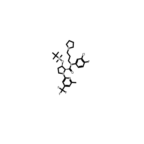 Cc1cc(C(F)(F)F)cc(N2CC[C@@H](O[Si](C)(C)C(C)(C)C)[C@H]2C(=O)N(CCCN2CCCC2)c2ccc(F)c(Cl)c2)n1